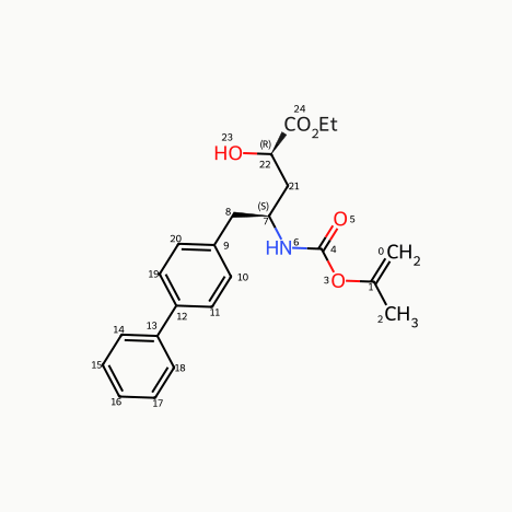 C=C(C)OC(=O)N[C@@H](Cc1ccc(-c2ccccc2)cc1)C[C@@H](O)C(=O)OCC